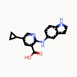 O=C(O)c1cc(C2CC2)cnc1Nc1ccc2[nH]ccc2c1